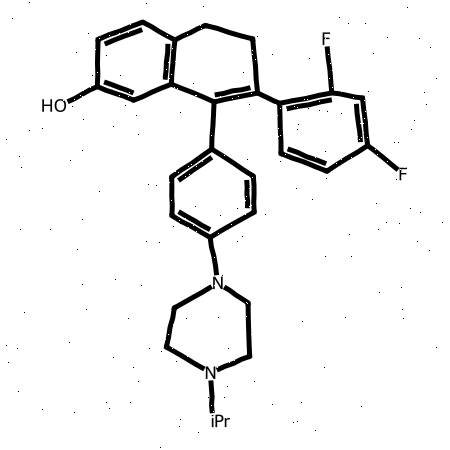 CC(C)N1CCN(c2ccc(C3=C(c4ccc(F)cc4F)CCc4ccc(O)cc43)cc2)CC1